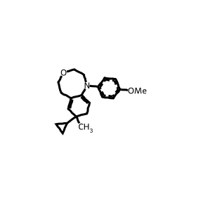 COc1ccc(N2CCOCCC3=CC(C)(C4CC4)CC=C32)cc1